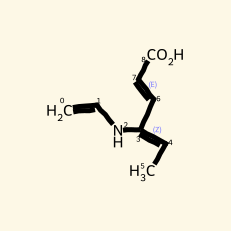 C=CNC(=C\C)/C=C/C(=O)O